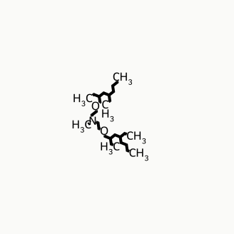 CCCCC(CC)CC(CC)COCCN(C)CCOCC(CC)CC(CC)CCCC